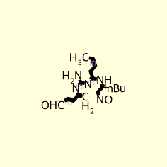 C=C(/C=C/C=O)/N=C(N)\N=C(/C/C=C\C)N[C@H](CCCC)CN=O